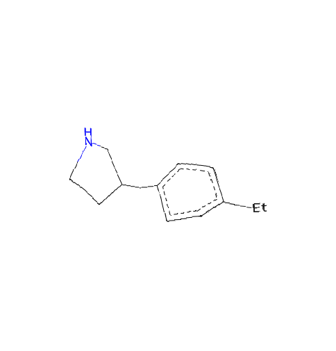 [CH2]Cc1ccc(C2CCNC2)cc1